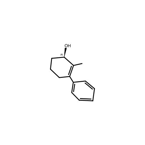 CC1=C(c2ccccc2)CCC[C@H]1O